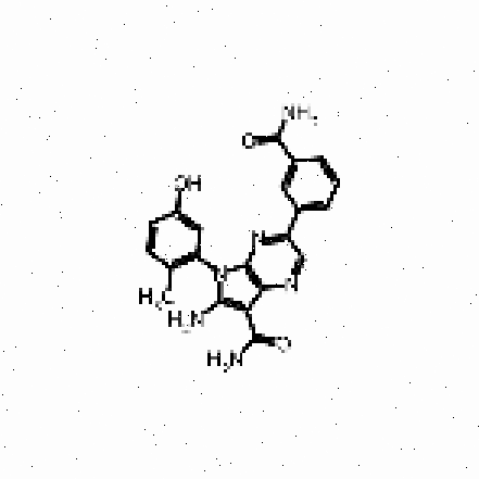 Cc1ccc(O)cc1-n1c(N)c(C(N)=O)c2ncc(-c3cccc(C(N)=O)c3)nc21